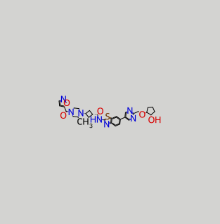 C[C@H]1CN(C(=O)c2ccno2)CCN1[C@H]1C[C@@H](C(=O)Nc2nc3ccc(-c4cnc(CO[C@H]5CCC[C@@H]5O)nc4)cc3s2)C1